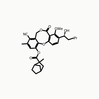 COc1c([C@@H](O)CC(C)C)ccc2c1C(=O)OCc1c(C#N)c(C)cc(OC(=O)C3(C)CC4CCC3C4)c1O2